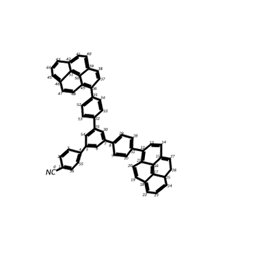 N#Cc1ccc(-c2cc(-c3ccc(-c4ccc5c6c7c(ccc46)=CC=CC7CC=5)cc3)cc(-c3ccc(-c4ccc5ccc6cccc7ccc4c5c67)cc3)c2)cc1